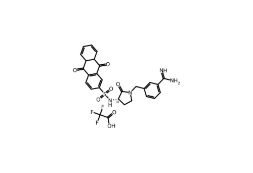 N=C(N)c1cccc(CN2CC[C@H](NS(=O)(=O)c3ccc4c(c3)C(=O)C3C=CC=CC3C4=O)C2=O)c1.O=C(O)C(F)(F)F